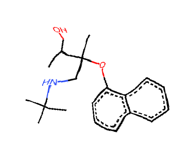 CC(O)C(C)(CNC(C)(C)C)Oc1cccc2ccccc12